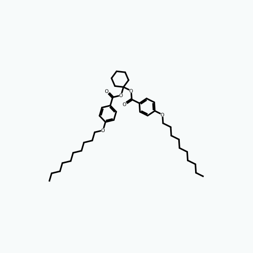 CCCCCCCCCCOc1ccc(C(=O)OC2(OC(=O)c3ccc(OCCCCCCCCCC)cc3)CCCCC2)cc1